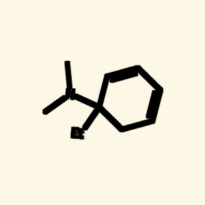 CCC1(N(C)C)C=CC=CC1